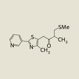 CSCC(C)C(=O)Cc1sc(-c2cccnc2)nc1C